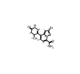 CCc1cc2c(C3=NNC(=O)CC3C)ccc(C(N)=O)n2n1